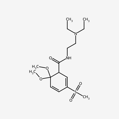 CCN(CC)CCNC(=O)C1C=C(S(C)(=O)=O)C=CC1(OC)OC